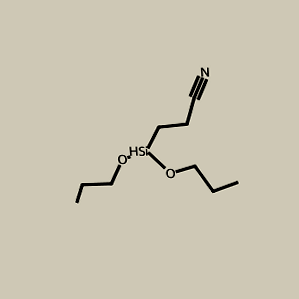 CCCO[SiH](CCC#N)OCCC